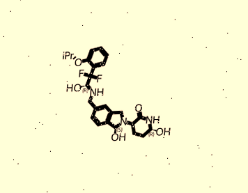 CC(C)Oc1ccccc1C(F)(F)[C@@H](O)NCc1ccc2c(c1)CN(C1CC[C@@H](O)NC1=O)[C@H]2O